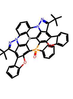 CC(C)(C)c1nn2c3c4c(c5oc6ccccc6c5c13)P(=O)(c1ccccc1)c1c3c5c(c(C(C)(C)C)nn5-c5cccc-2c5B43)c2c1oc1ccccc12